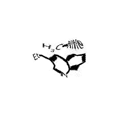 CCc1cnc2ccccc2c1.CNC